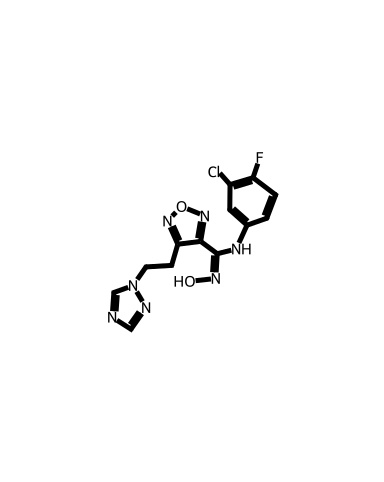 O/N=C(/Nc1ccc(F)c(Cl)c1)c1nonc1CCn1cncn1